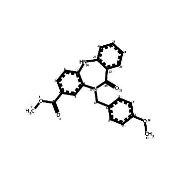 COC(=O)c1ccc2c(c1)N(Cc1ccc(OC)cc1)C(=O)c1ccccc1N2